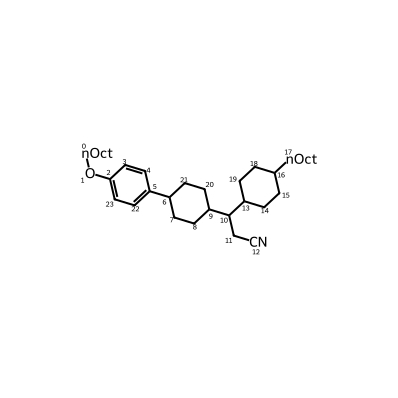 CCCCCCCCOc1ccc(C2CCC(C(CC#N)C3CCC(CCCCCCCC)CC3)CC2)cc1